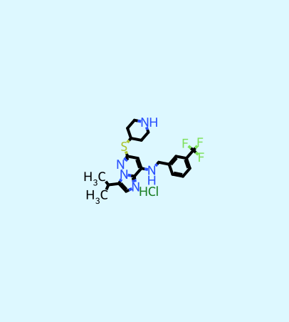 CC(C)c1cnc2c(NCc3cccc(C(F)(F)F)c3)cc(SC3CCNCC3)nn12.Cl